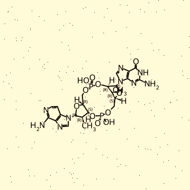 C[C@@H]1[C@@H]2OP(=O)(O)OC[C@H]3O[C@@H](n4cnc5c(=O)[nH]c(N)nc54)[C@H](OP(=O)(O)OC[C@H]2O[C@H]1n1cnc2c(N)nccc21)[C@@H]3C